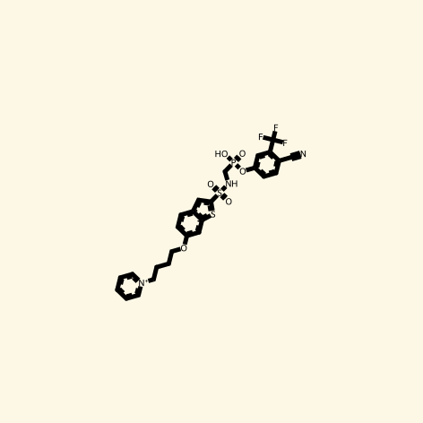 N#Cc1ccc(OP(=O)(O)CNS(=O)(=O)c2cc3ccc(OCCCC[n+]4ccccc4)cc3s2)cc1C(F)(F)F